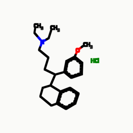 CCN(CC)CCCC(c1cccc(OC)c1)C1CCCc2ccccc21.Cl